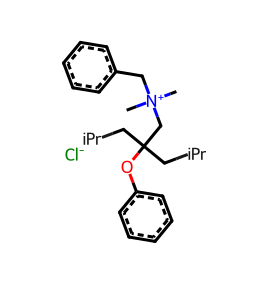 CC(C)CC(CC(C)C)(C[N+](C)(C)Cc1ccccc1)Oc1ccccc1.[Cl-]